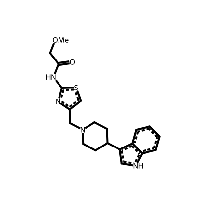 COCC(=O)Nc1nc(CN2CCC(c3c[nH]c4ccccc34)CC2)cs1